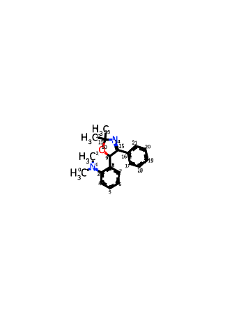 CN(C)c1ccccc1C1OC(C)(C)N=C1c1ccccc1